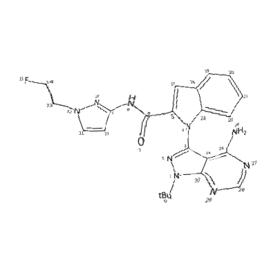 CC(C)(C)n1nc(-n2c(C(=O)Nc3ccn(CCF)n3)cc3ccccc32)c2c(N)ncnc21